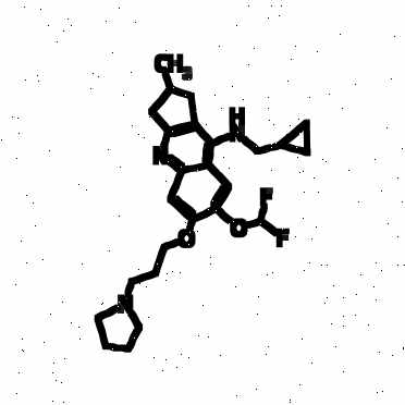 CC1Cc2nc3cc(OCCCN4CCCC4)c(OC(F)F)cc3c(NCC3CC3)c2C1